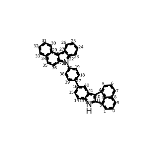 c1cc2c3c(cccc3c1)-c1c-2[nH]c2ccc(-c3ccc(-n4c5ccccc5c5c6ccccc6ccc54)cc3)cc12